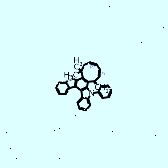 C=C1/C=C\C=C/CC(C)(C)c2c1c1c(c3ccccc3n1-c1ccccc1)c1c2oc2ccccc21